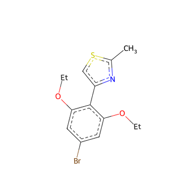 CCOc1cc(Br)cc(OCC)c1-c1csc(C)n1